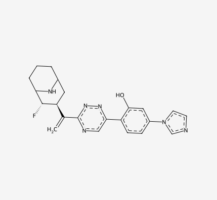 C=C(c1ncc(-c2ccc(-n3ccnc3)cc2O)nn1)[C@@H]1CC2CCCC(N2)[C@H]1F